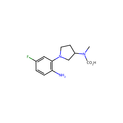 CN(C(=O)O)C1CCN(c2cc(F)ccc2N)C1